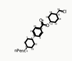 CCCCC[C@H]1CC[C@H](c2ccc(C(=O)O[C@H]3CC[C@H](CCl)CC3)cc2)CC1